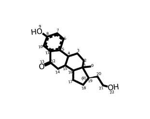 CC12CCC3c4ccc(O)cc4C(=O)CC3C1CC[C@@H]2CCO